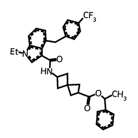 CCn1cc(C(=O)NC2CC3(C2)CC(C(=O)OC(C)c2ccccc2)C3)c2c(Cc3ccc(C(F)(F)F)cc3)cccc21